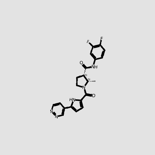 C[C@H]1[C@@H](C(=O)Nc2ccc(F)c(F)c2)CCN1C(=O)c1ccc(-c2ccnnc2)[nH]1